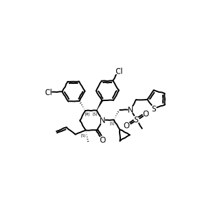 C=CC[C@@]1(C)C[C@H](c2cccc(Cl)c2)[C@@H](c2ccc(Cl)cc2)N([C@H](CN(Cc2cccs2)S(C)(=O)=O)C2CC2)C1=O